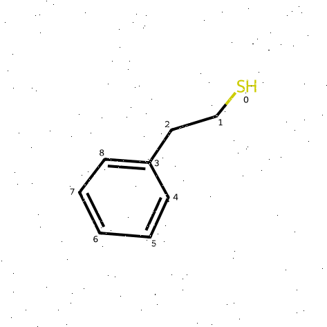 SCCc1[c]cccc1